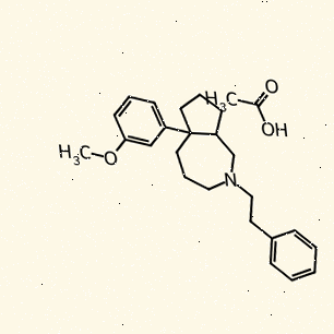 CC(=O)O.COc1cccc(C23CCCC2CN(CCc2ccccc2)CCC3)c1